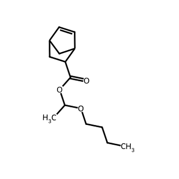 CCCCOC(C)OC(=O)C1CC2C=CC1C2